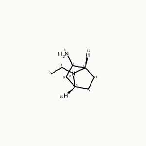 CCN1[C@@H]2CC[C@H]1C(N)C2